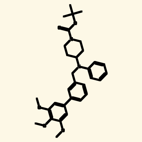 COc1cc(-c2cccc(CN(c3ccccc3)C3CCN(C(=O)OC(C)(C)C)CC3)c2)cc(OC)c1OC